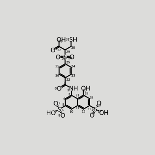 O=C(Nc1cc(S(=O)(=O)O)cc2cc(S(=O)(=O)O)cc(O)c12)c1ccc(S(=O)(=O)C(CS)C(=O)O)cc1